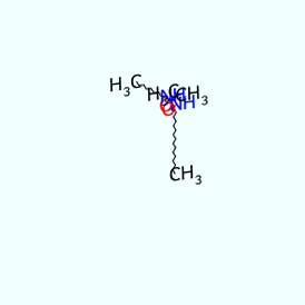 CCCCCCCCCCCCCCCC(=O)N[C@H](C(=O)NCCCCCCCC)C(C)C